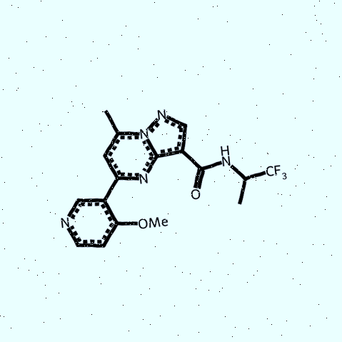 COc1ccncc1-c1cc(C)n2ncc(C(=O)NC(C)C(F)(F)F)c2n1